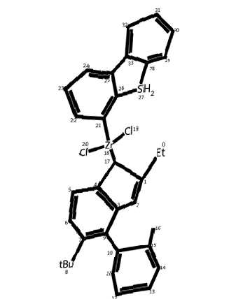 CCC1=Cc2c(ccc(C(C)(C)C)c2-c2ccccc2C)[CH]1[Zr]([Cl])([Cl])[c]1cccc2c1[SiH2]c1ccccc1-2